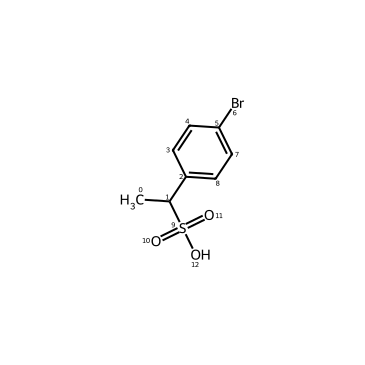 CC(c1ccc(Br)cc1)S(=O)(=O)O